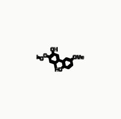 COc1ccc(O)c(-c2cc(O)c(OOI)cc2C)c1